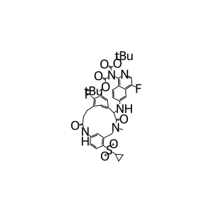 CN1Cc2cc(ccc2S(=O)(=O)C2CC2)NC(=O)CCc2cc(ccc2F)C(Nc2ccc3c(N(C(=O)OC(C)(C)C)C(=O)OC(C)(C)C)ncc(F)c3c2)C1=O